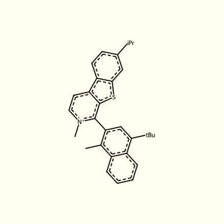 Cc1c(-c2c3sc4cc(C(C)C)ccc4c3cc[n+]2C)cc(C(C)(C)C)c2ccccc12